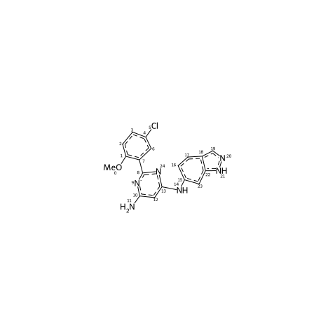 COc1ccc(Cl)cc1-c1nc(N)cc(Nc2ccc3cn[nH]c3c2)n1